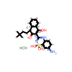 CC(C)(C)CC[C@]1(C)C(=O)C(C2=NS(O)(O)c3cc(N)ccc3N2)=C(O)c2ccccc21.Cl